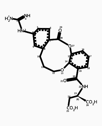 N=C(N)Nc1ccc2c(c1)CCCOc1c(cccc1C(=O)N[C@H](CC(=O)O)C(=O)O)OC2=O